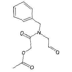 CC(=O)OCC(=O)N(CC=O)Cc1ccccc1